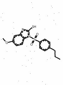 CCCc1ccc(S(=O)(=O)n2c(S)nc3cc(OC)ccc32)cc1